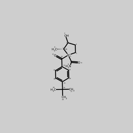 C[C@@H]1C(O)CC[N+]1(C(N)=O)C(=O)c1ccc(C(C)(C)C)cc1